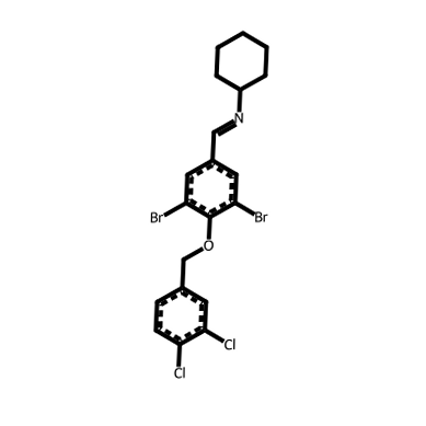 Clc1ccc(COc2c(Br)cc(C=NC3CCCCC3)cc2Br)cc1Cl